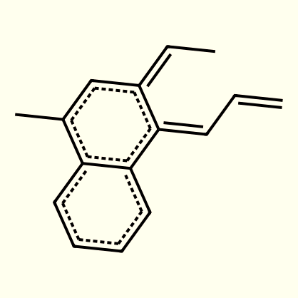 C=C/C=c1\c(=C/C)cc(C)c2ccccc12